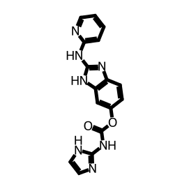 O=C(Nc1ncc[nH]1)Oc1ccc2nc(Nc3ccccn3)[nH]c2c1